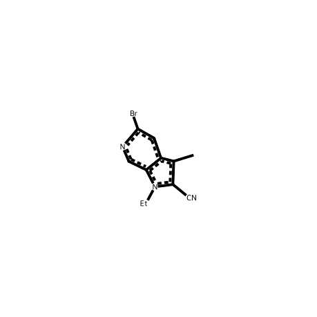 CCn1c(C#N)c(C)c2cc(Br)ncc21